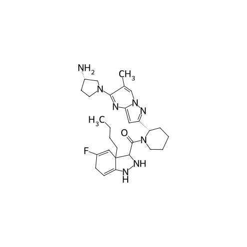 CCCCC12C=C(F)CC=C1NNC2C(=O)N1CCCC[C@H]1c1cc2nc(N3CC[C@H](N)C3)c(C)cn2n1